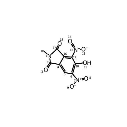 CN1C(=O)c2cc([N+](=O)[O-])c(O)c([N+](=O)[O-])c2C1=O